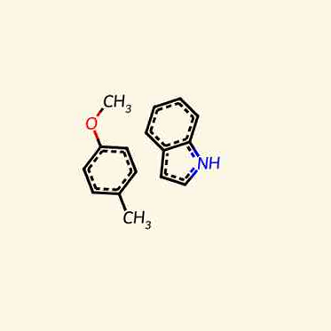 COc1ccc(C)cc1.c1ccc2[nH]ccc2c1